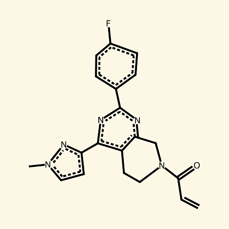 C=CC(=O)N1CCc2c(nc(-c3ccc(F)cc3)nc2-c2ccn(C)n2)C1